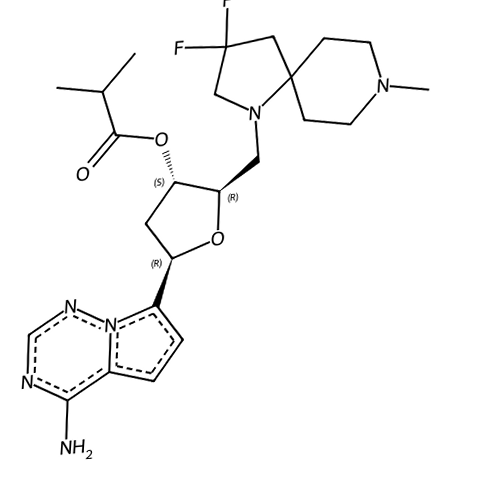 CC(C)C(=O)O[C@H]1C[C@H](c2ccc3c(N)ncnn23)O[C@@H]1CN1CC(F)(F)CC12CCN(C)CC2